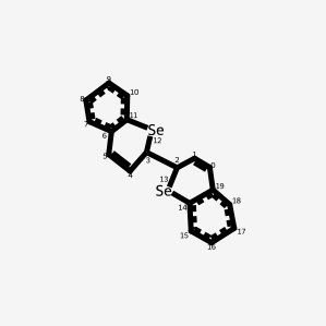 C1=CC(C2C=Cc3ccccc3[Se]2)[Se]c2ccccc21